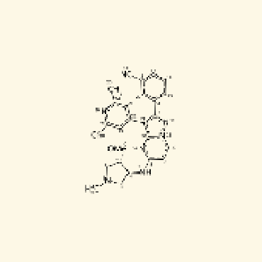 CO[C@H]1CN(C)C[C@@H]1Nc1ccn2nc(-c3cccc(C#N)c3)c(-c3cc(C)nc(Cl)c3)c2n1